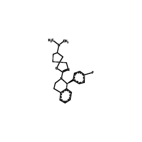 CN(C)C1CCC2(CN=C(N3CCc4ccccc4[C@@H]3c3ccc(F)cc3)O2)C1